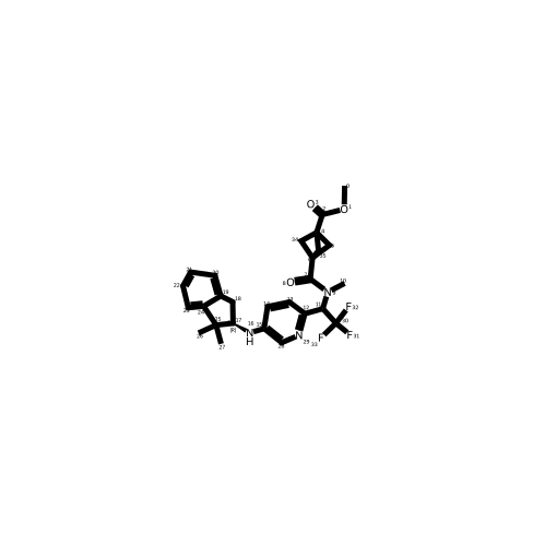 COC(=O)C12CC(C(=O)N(C)C(c3ccc(N[C@@H]4Cc5ccccc5C4(C)C)cn3)C(F)(F)F)(C1)C2